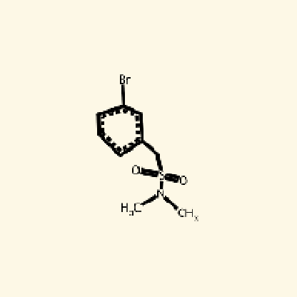 CN(C)S(=O)(=O)Cc1cccc(Br)c1